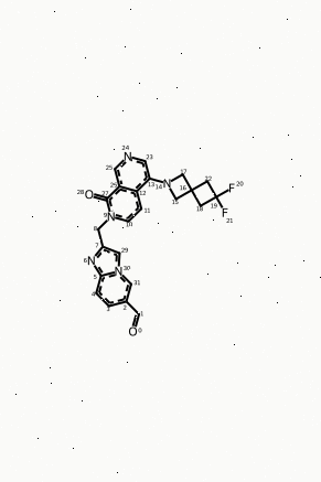 O=Cc1ccc2nc(Cn3ccc4c(N5CC6(C5)CC(F)(F)C6)cncc4c3=O)cn2c1